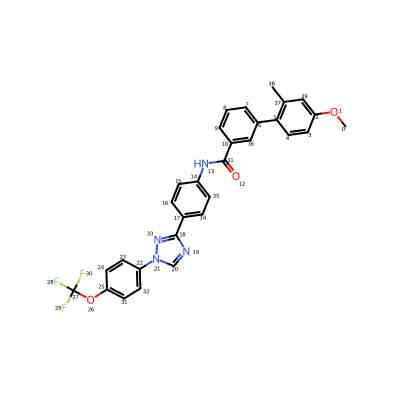 COc1ccc(-c2cccc(C(=O)Nc3ccc(-c4ncn(-c5ccc(OC(F)(F)F)cc5)n4)cc3)c2)c(C)c1